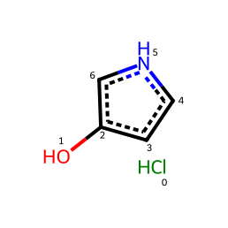 Cl.Oc1cc[nH]c1